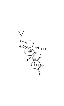 C[C@]12CCC(=O)NC1=CC(O)[C@@H]1[C@H]2CC[C@]2(C)C(OC3CC3)CC[C@@H]12